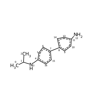 CC(C)Nc1ccc(-c2ccc(N)cc2)cc1